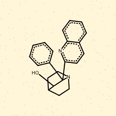 OC1C2CCN(CC2)C1(c1ccccc1)c1ccc2ccccc2n1